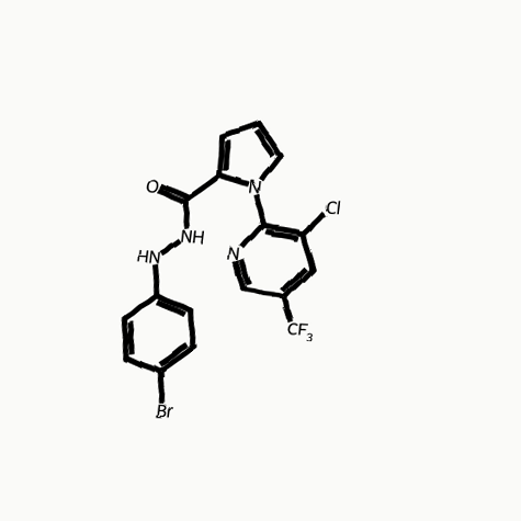 O=C(NNc1ccc(Br)cc1)c1cccn1-c1ncc(C(F)(F)F)cc1Cl